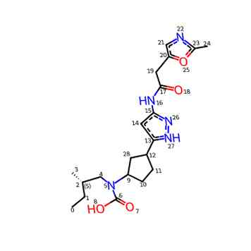 CC[C@H](C)CN(C(=O)O)C1CCC(c2cc(NC(=O)Cc3cnc(C)o3)n[nH]2)C1